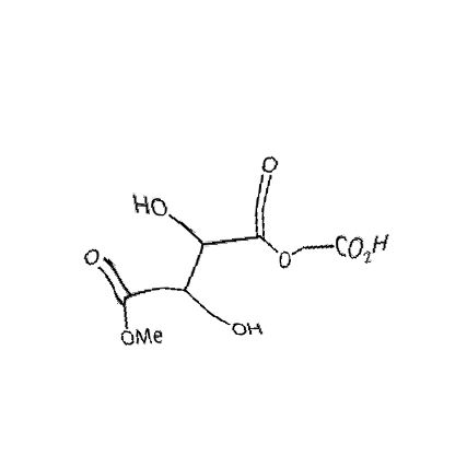 COC(=O)C(O)C(O)C(=O)OC(=O)O